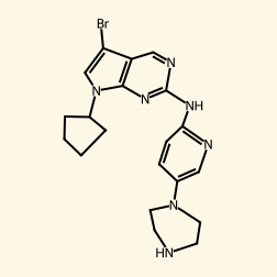 Brc1cn(C2CCCC2)c2nc(Nc3ccc(N4CCNCC4)cn3)ncc12